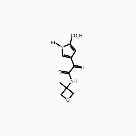 CCn1cc(C(=O)C(=O)NC2(C)COC2)cc1C(=O)O